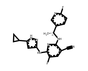 C[C@@H](Nc1nc(Nc2cc(C3CC3)[nH]n2)c(F)cc1C#N)c1ccc(F)nc1